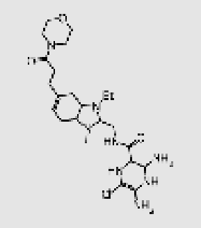 CCN1C2CC(CCC(=O)N3CCOCC3)=CCC2N(C)C1CNC(=O)C1NC(Cl)=C(N)NC1N